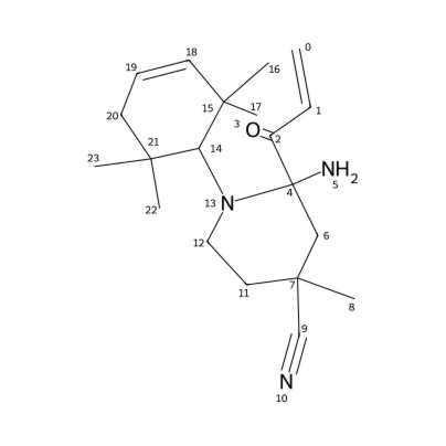 C=CC(=O)C1(N)CC(C)(C#N)CCN1C1C(C)(C)C=CCC1(C)C